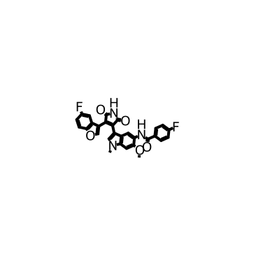 COc1cc2c(cc1NC(=O)c1ccc(F)cc1)c(C1=C(c3coc4ccc(F)cc34)C(=O)NC1=O)cn2C